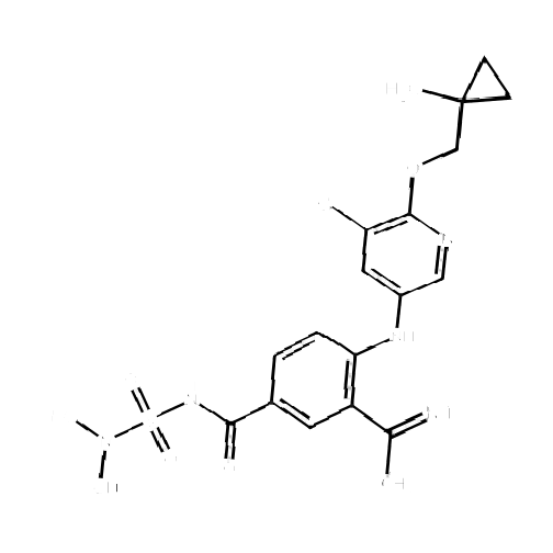 CC(=N)c1cc(C(=O)NS(=O)(=O)N(C)C)ccc1Nc1cnc(OCC2(C)CC2)c(Cl)c1